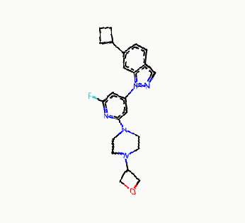 Fc1cc(-n2ncc3ccc(C4CCC4)cc32)cc(N2CCN(C3COC3)CC2)n1